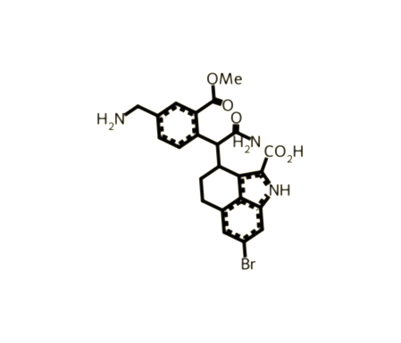 COC(=O)c1cc(CN)ccc1C(C(N)=O)C1CCc2cc(Br)cc3[nH]c(C(=O)O)c1c23